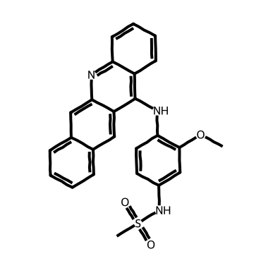 COc1cc(NS(C)(=O)=O)ccc1Nc1c2ccccc2nc2cc3ccccc3cc12